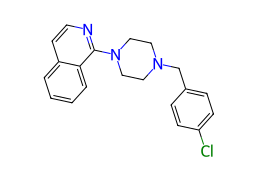 Clc1ccc(CN2CCN(c3nccc4ccccc34)CC2)cc1